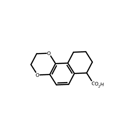 O=C(O)C1CCCc2c1ccc1c2OCCO1